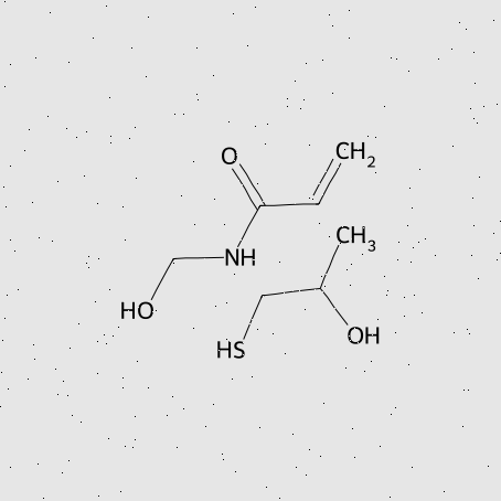 C=CC(=O)NCO.CC(O)CS